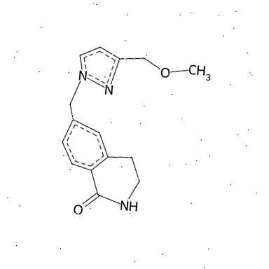 COCc1ccn(Cc2ccc3c(c2)CCNC3=O)n1